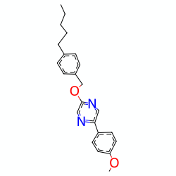 CCCCCc1ccc(COc2cnc(-c3ccc(OC)cc3)cn2)cc1